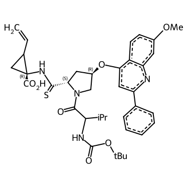 C=CC1C[C@]1(NC(=S)[C@@H]1C[C@@H](Oc2cc(-c3ccccc3)nc3cc(OC)ccc23)CN1C(=O)C(NC(=O)OC(C)(C)C)C(C)C)C(=O)O